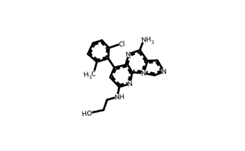 Cc1cccc(Cl)c1-c1cc(NCCO)nc2c1nc(N)c1cncn12